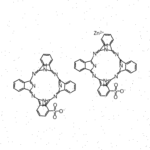 O=S(=O)([O-])c1cccc2c3nc4nc(nc5[nH]c(nc6nc(nc([nH]3)c12)-c1ccccc1-6)c1ccccc51)-c1ccccc1-4.O=S(=O)([O-])c1cccc2c3nc4nc(nc5[nH]c(nc6nc(nc([nH]3)c12)-c1ccccc1-6)c1ccccc51)-c1ccccc1-4.[Zn+2]